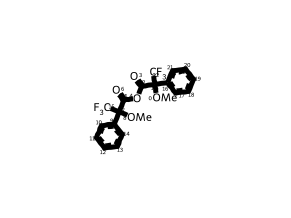 COC(C(=O)OC(=O)C(OC)(c1ccccc1)C(F)(F)F)(c1ccccc1)C(F)(F)F